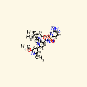 COc1cc(-c2ccc(C(=O)NS(=O)(=O)c3cccc(N)n3)c(N3CCC(C)C3(C)C)n2)cc(C)n1